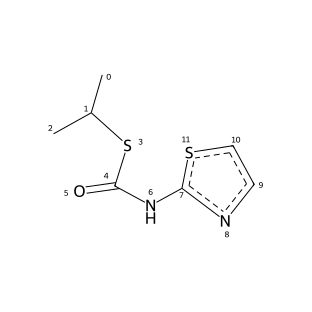 CC(C)SC(=O)Nc1nccs1